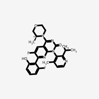 Cc1ccnc(C(C)C)c1-n1c(=O)nc(N2CCOC[C@@H]2C)c2cc(F)c(-c3c(O)cccc3F)nc21